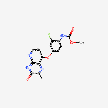 Cc1nc2c(Oc3ccc(NC(=O)OC(C)(C)C)c(F)c3)ccnc2[nH]c1=O